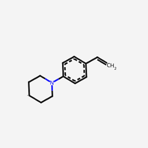 C=Cc1ccc(N2CC[CH]CC2)cc1